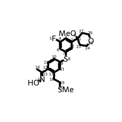 COC1(c2cc(F)cc(Sc3ccc(/C(C)=N/O)c(CCSC)c3)c2)CCOCC1